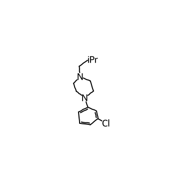 CC(C)CN1CCN(c2cccc(Cl)c2)CC1